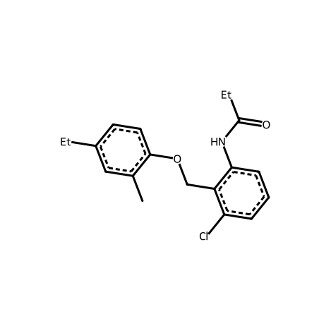 CCC(=O)Nc1cccc(Cl)c1COc1ccc(CC)cc1C